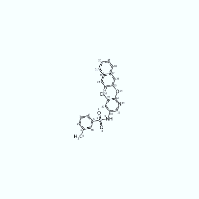 Cc1cccc(S(=O)(=O)Nc2cnc(Oc3cc4ccccc4cn3)c(Cl)c2)c1